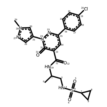 CC(CNS(=O)(=O)C1CC1)NC(=O)c1cc(-c2ccc(Cl)cc2)nn(-c2cnn(C)c2)c1=O